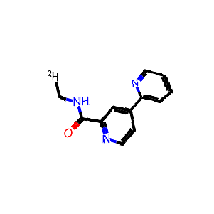 [2H]CNC(=O)c1cc(-c2ccccn2)ccn1